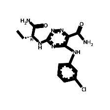 CC[C@@H](Nc1nnc(C(N)=O)c(Nc2cccc(Cl)c2)n1)C(N)=O